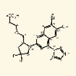 O=C(O)CCOC[C@@H]1CC(F)(F)CN1c1cc(-n2cncn2)c2cc(Cl)c(Br)cc2n1